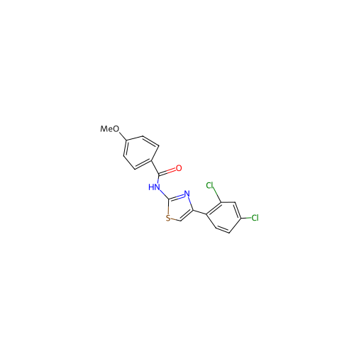 COc1ccc(C(=O)Nc2nc(-c3ccc(Cl)cc3Cl)cs2)cc1